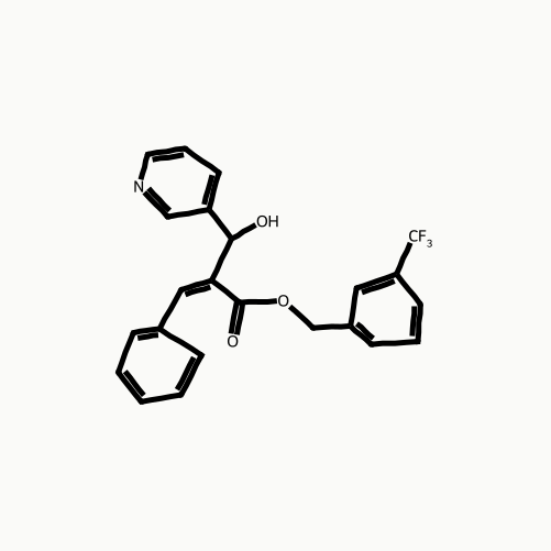 O=C(OCc1cccc(C(F)(F)F)c1)/C(=C\c1ccccc1)C(O)c1cccnc1